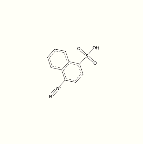 N#[N+]c1ccc(S(=O)(=O)O)c2ccccc12